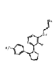 CC(C)(C)CCNc1ncnc(N2CCCC2c2ccc(C(F)(F)F)cc2)c1F